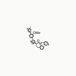 COc1cc(-c2cn(C3CCc4ccccc4N(Cc4ccncc4)C3=O)nn2)ccc1-n1cnc(C)c1